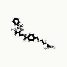 N=C(N)NCCOCc1ccc(C(=O)NCC(NS(=O)(=O)c2ccccc2)C(=O)O)cc1